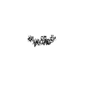 O=C(c1c(Cl)cc(N=S(=O)(F)N2CC(c3ncco3)C2)cc1Cl)N1CCO[C@@H](c2ccccc2)C1